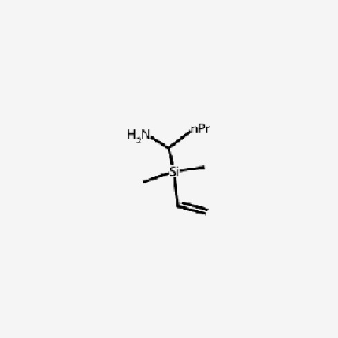 C=C[Si](C)(C)C(N)CCC